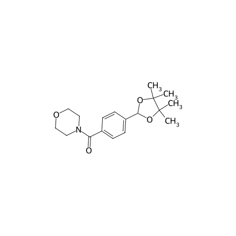 CC1(C)OC(c2ccc(C(=O)N3CCOCC3)cc2)OC1(C)C